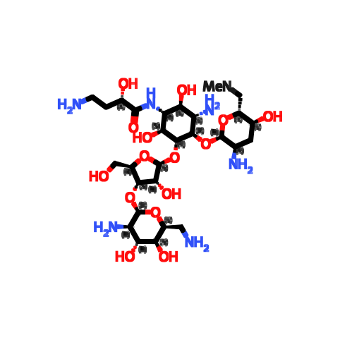 CNC[C@H]1O[C@H](O[C@@H]2[C@@H](N)[C@H](O)[C@@H](NC(=O)[C@@H](O)CCN)[C@H](O)[C@H]2O[C@@H]2O[C@H](CO)[C@@H](O[C@H]3O[C@@H](CN)[C@@H](O)[C@H](O)[C@H]3N)[C@H]2O)[C@H](N)C[C@@H]1O